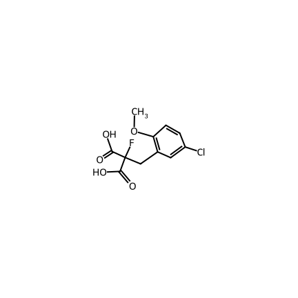 COc1ccc(Cl)cc1CC(F)(C(=O)O)C(=O)O